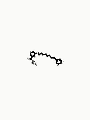 N=C(NN)c1cccc(OCCCCCCCCc2ccccc2)c1